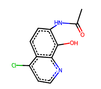 CC(=O)Nc1ccc2c(Cl)ccnc2c1O